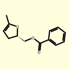 CC1=CC[C@@H](COC(=O)c2ccccc2)O1